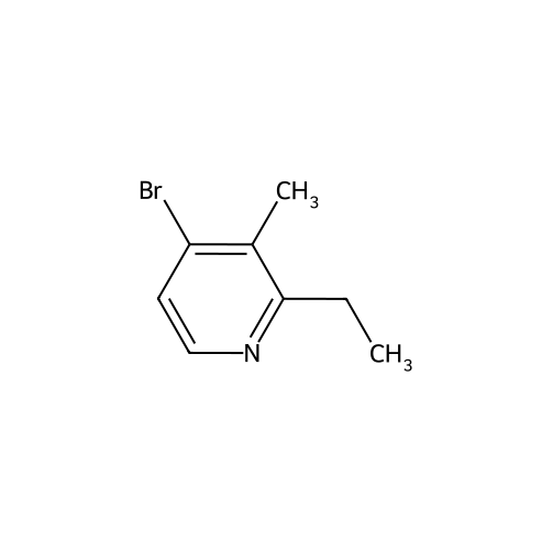 CCc1nccc(Br)c1C